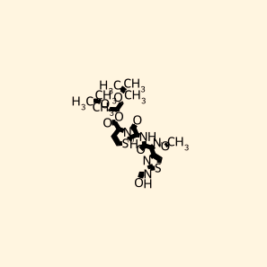 CON=C(C(=O)NC1C(=O)N2C(C(=O)OC(COC(C)(C)C)COC(C)(C)C)C=CS[C@@H]12)c1csc(NC=O)n1